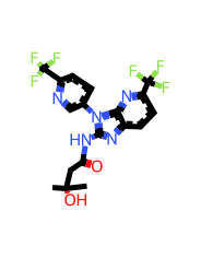 CC(C)(O)CC(=O)Nc1nc2ccc(C(F)(F)F)nc2n1-c1ccc(C(F)(F)F)nc1